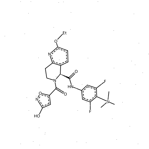 CCOc1ccc2c(n1)CCN(C(=O)c1cc(O)no1)[C@@H]2C(=O)Nc1cc(F)c([Si](C)(C)C)c(F)c1